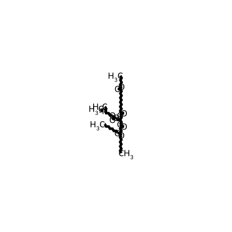 CCCCCCCCOC(CCC(=O)OCC(COC(=O)CCCCCCCCCCC(=O)OCCCCC)COC(=O)OCCCN(CC)CC)OCCCCCCCC